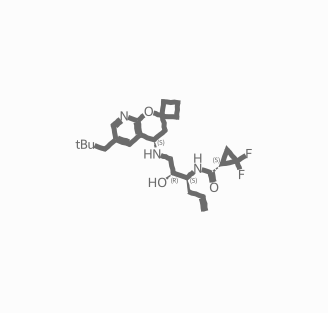 C=CC[C@H](NC(=O)[C@@H]1CC1(F)F)[C@H](O)CN[C@H]1CC2(CCC2)Oc2ncc(CC(C)(C)C)cc21